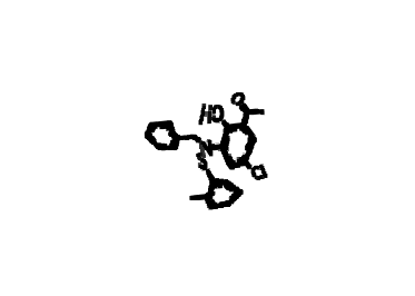 CC(=O)c1cc(Cl)cc(N(Cc2ccccc2)Sc2ccccc2C)c1O